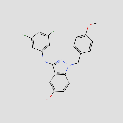 COc1ccc(Cn2nc(Nc3cc(Cl)cc(Cl)c3)c3cc(OC)ccc32)cc1